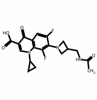 CC(=O)NCC1CN(c2c(F)cc3c(=O)c(C(=O)O)cn(C4CC4)c3c2F)C1